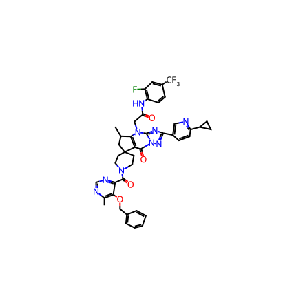 Cc1ncnc(C(=O)N2CCC3(CC2)CC(C)c2c3c(=O)n3nc(-c4ccc(C5CC5)nc4)nc3n2CC(=O)Nc2ccc(C(F)(F)F)cc2F)c1OCc1ccccc1